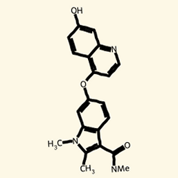 CNC(=O)c1c(C)n(C)c2cc(Oc3ccnc4cc(O)ccc34)ccc12